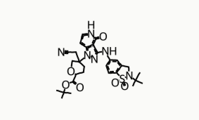 CC(C)(C)OC(=O)C1CCC(CC#N)(n2nc(Nc3ccc4c(c3)CN(C(C)(C)C)S4(=O)=O)c3c(=O)[nH]ccc32)CO1